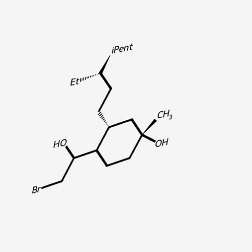 CCC[C@H](C)[C@@H](CC)CC[C@@H]1C[C@](C)(O)CCC1C(O)CBr